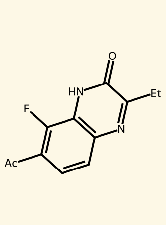 CCc1nc2ccc(C(C)=O)c(F)c2[nH]c1=O